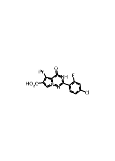 CC(C)c1c(C(=O)O)cn2nc(-c3ccc(Cl)cc3F)[nH]c(=O)c12